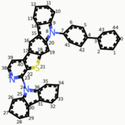 c1ccc(-c2ccc(-n3c4ccccc4c4cc5c(cc43)sc3c(-n4c6ccccc6c6ccccc64)nccc35)cc2)cc1